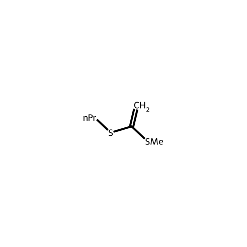 C=C(SC)SCCC